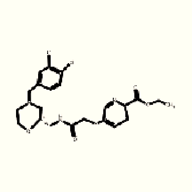 CCOC(=O)C1CC=C(SCC(=O)NC[C@H]2CN(Cc3ccc(Cl)c(Cl)c3)CCO2)C=N1